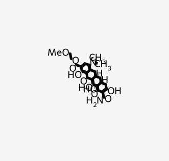 COCCOC(=O)c1cc(N(C)C)c2c(c1O)C(=O)C1=C(O)[C@]3(O)C(=O)C(C(N)=O)=C(O)C[C@@H]3C[C@@H]1C2